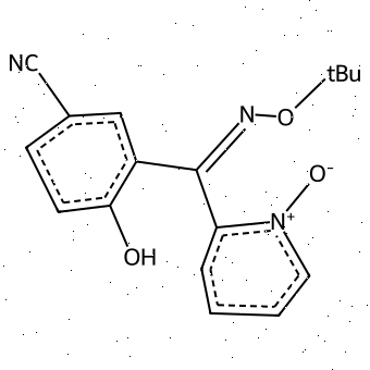 CC(C)(C)ON=C(c1cc(C#N)ccc1O)c1cccc[n+]1[O-]